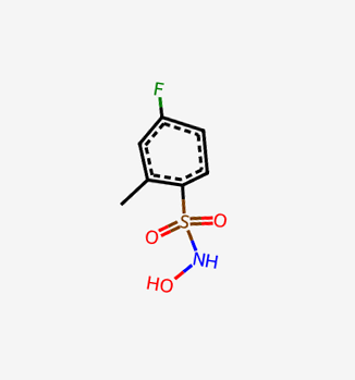 Cc1cc(F)ccc1S(=O)(=O)NO